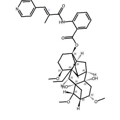 CCN1C[C@]2(OC(=O)c3ccccc3NC(=O)/C(C)=C/c3ccncc3)CC[C@H](OC)[C@]34C1[C@@H](C[C@H]23)[C@@]1(O)C[C@H](OC)[C@H]2C[C@@H]4[C@]1(O)[C@H]2OC